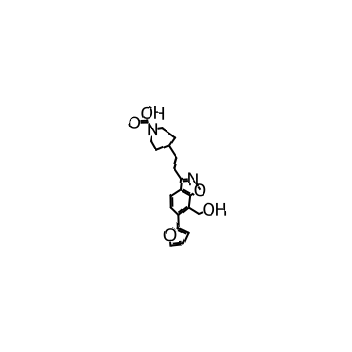 O=C(O)N1CCC(CCc2noc3c(CO)c(-c4ccco4)ccc23)CC1